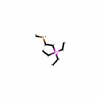 CC[P+](CC)(CC)CCSC